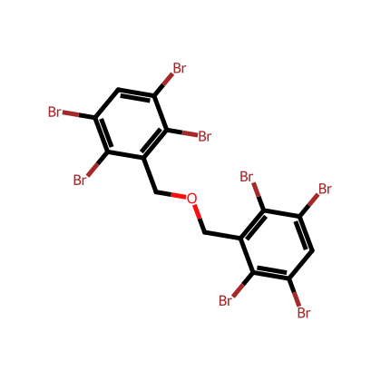 Brc1cc(Br)c(Br)c(COCc2c(Br)c(Br)cc(Br)c2Br)c1Br